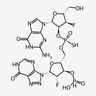 Nc1nc2c(ncn2[C@@H]2O[C@H](CO)[C@@H](F)[C@H]2OP(=O)(S)OC[C@H]2O[C@@H](n3nnc4c(=O)[nH]cnc43)[C@@H](F)[C@@H]2O[PH](=O)O)c(=O)[nH]1